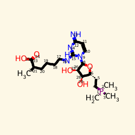 C=P(C)(C)CC[C@H]1OC(n2ccc(=N)nc2NCCCCC(C)C(=O)O)[C@H](O)[C@@H]1O